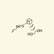 C=CC.C=CC.C=CCN=C=S.CC1=CCC2CC1C2(C)C.OCCO